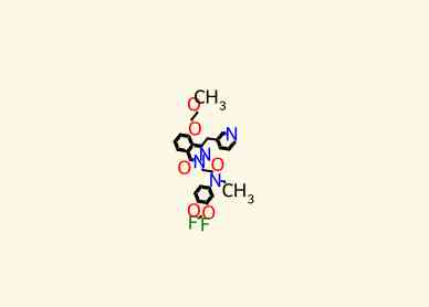 CCN(C(=O)Cn1nc(Cc2cccnc2)c2c(OCCOC)cccc2c1=O)c1ccc2c(c1)OC(F)(F)O2